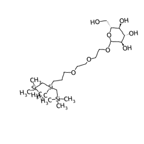 C[Si](C)(C)C[Si](C)(CCCOCCOCCOC1O[C@H](CO)[C@@H](O)[C@H](O)[C@H]1O)C[Si](C)(C)C